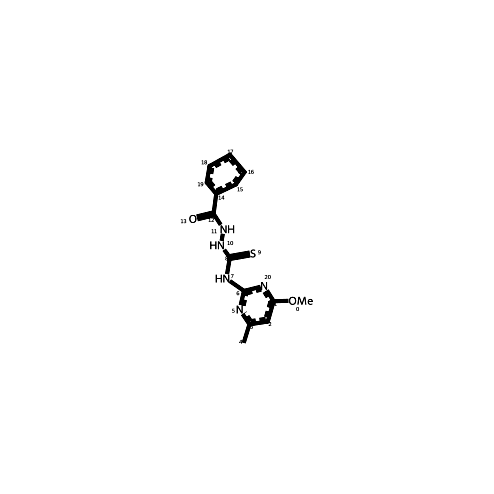 COc1cc(C)nc(NC(=S)NNC(=O)c2ccccc2)n1